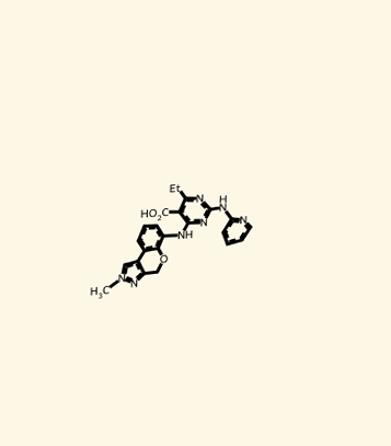 CCc1nc(Nc2ccccn2)nc(Nc2cccc3c2OCc2nn(C)cc2-3)c1C(=O)O